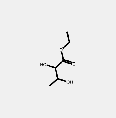 CCOC(=O)C(O)C(C)O